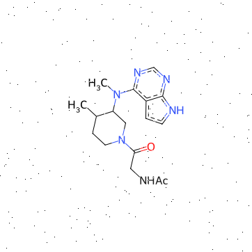 CC(=O)NCC(=O)N1CCC(C)C(N(C)c2ncnc3[nH]ccc23)C1